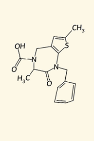 Cc1cc2c(s1)N(Cc1ccccc1)C(=O)C(C)N(C(=O)O)C2